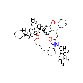 CC(C)(C)c1ccc(CCCC(CCC2CCCCC2)O[Si](C)(C)C(C)(C)C)cc1NC(=O)CC1c2ccccc2Oc2ccccc21